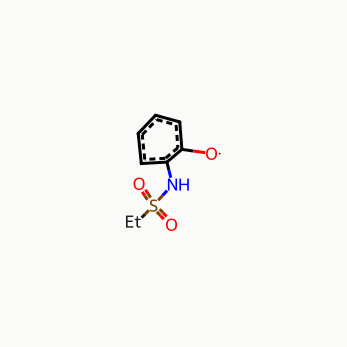 CCS(=O)(=O)Nc1ccccc1[O]